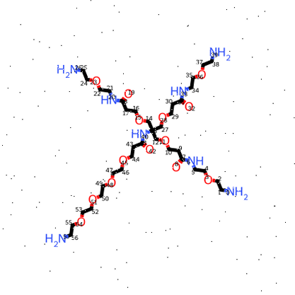 NCCOCCNC(=O)CCOCC(COCCC(=O)NCCOCCN)(COCCC(=O)NCCOCCN)NC(=O)CCOCCOCCOCCOCCN